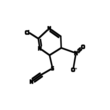 N#CSC1N=C(Cl)N=CC1[N+](=O)[O-]